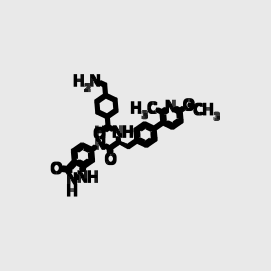 COc1ccc(-c2ccc(C[C@H](NC(=O)C3CCC(CN)CC3)C(=O)Nc3ccc4c(=O)[nH][nH]c4c3)cc2)c(C)n1